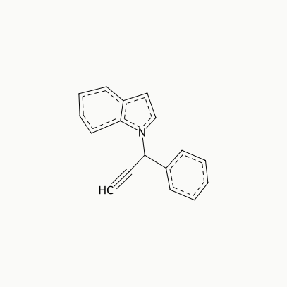 C#CC(c1ccccc1)n1ccc2ccccc21